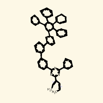 C/C=C\C(=C/C)c1nc(-c2ccccc2)nc(-c2cccc(-c3cccc(-c4cccc(-c5cc(-c6ccccc6)c(-c6ccccc6)c(C6=CCCC=C6)c5-c5ccccc5)c4)c3)c2)n1